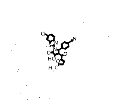 Cc1ccc(C(=O)C2=C(O)C(=O)N(c3nc4ccc(Cl)cc4s3)C2c2ccc(C#N)cc2)o1